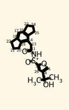 CC(C)(O)c1coc([S+]([O-])NC(=O)Cc2c3c(cc4c2CCC4)CCC3)c1